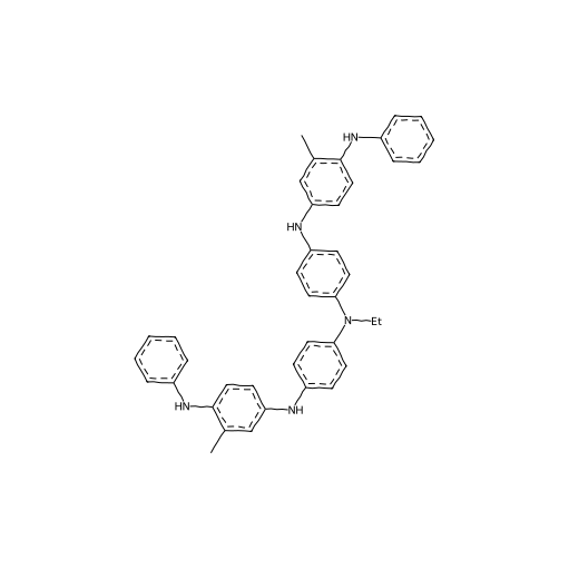 CCN(c1ccc(Nc2ccc(Nc3ccccc3)c(C)c2)cc1)c1ccc(Nc2ccc(Nc3ccccc3)c(C)c2)cc1